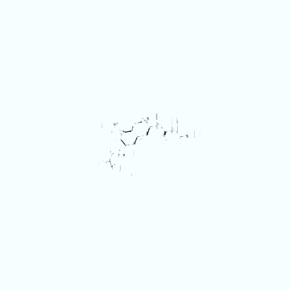 CCNC(=O)Nc1cc2cc(NCC(C)C)cc(C)c2cn1